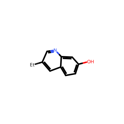 [CH2]Cc1cnc2cc(O)ccc2c1